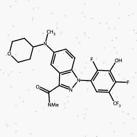 CNC(=O)c1nn(-c2cc(C(F)(F)F)c(F)c(O)c2F)c2ccc(N(C)C3CCOCC3)cc12